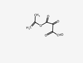 C=C(C)OC(=O)C(=O)C(=O)C=O